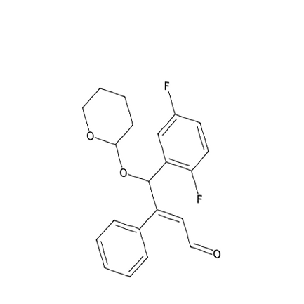 O=CC=C(c1ccccc1)C(OC1CCCCO1)c1cc(F)ccc1F